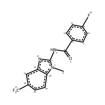 Cn1c(NC(=O)c2ccc(F)cc2)nc2cc(C(F)(F)F)ccc21